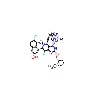 CC#Cc1nc(-c2cc(O)cc3ccc(F)c(CC)c23)c(F)c2nc(OC[C@@H]3CCCN3C)nc(N3C[C@H]4CC[C@@H](C3)N4)c12